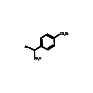 CCOC(=O)c1ccc(C(C(C)=O)S(=O)(=O)O)cc1